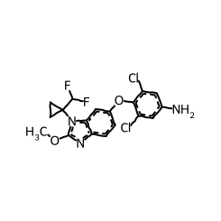 COc1nc2ccc(Oc3c(Cl)cc(N)cc3Cl)cc2n1C1(C(F)F)CC1